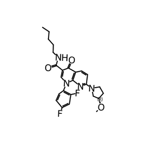 CCCCCNC(=O)c1cn(-c2ccc(F)cc2F)c2nc(N3CC[C@@H](OC)C3)ccc2c1=O